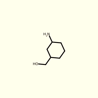 NC1CCCC(CO)C1